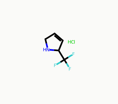 Cl.FC(F)(F)C1C=CCN1